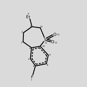 CCC1CCc2cc(F)ccc2S(=O)(=O)C1